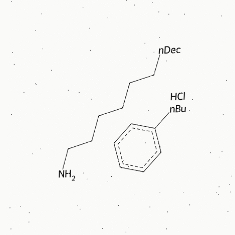 CCCCCCCCCCCCCCCCN.CCCCc1ccccc1.Cl